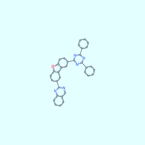 c1ccc(-c2nc(-c3ccccc3)nc(-c3ccc4oc5ccc(-c6ncc7ccccc7n6)cc5c4c3)n2)cc1